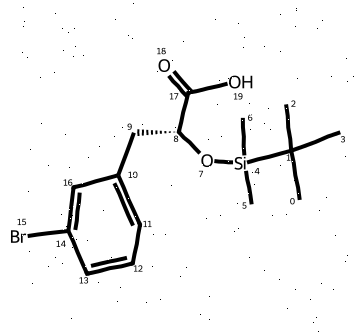 CC(C)(C)[Si](C)(C)O[C@H](Cc1cccc(Br)c1)C(=O)O